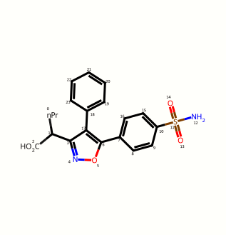 CCCC(C(=O)O)c1noc(-c2ccc(S(N)(=O)=O)cc2)c1-c1ccccc1